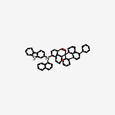 c1ccc(-c2ccc3c4c(cccc24)C2(c4ccccc4-3)c3ccccc3-c3ccc(N(c4ccc5c(c4)sc4ccccc45)c4cccc5ccccc45)c4cccc2c34)cc1